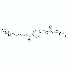 COCC(=O)OCN1CCN(C(=O)CCCCCN=[N+]=[N-])CC1